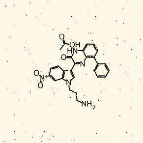 CC(=O)O.NCCCn1cc(-c2nc3c(-c4ccccc4)cccc3[nH]c2=O)c2ccc([N+](=O)[O-])cc21